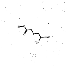 CCOC(=O)CSCC(C)NC